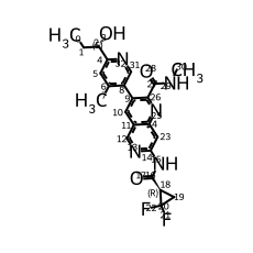 CC[C@H](O)c1cc(C)c(-c2cc3cnc(NC(=O)[C@H]4CC4(F)F)cc3nc2C(=O)NC)cn1